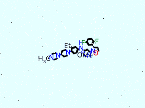 CCc1cc(Nc2cc(N3OCC[C@@H]3c3cc(F)ccc3F)ncn2)c(OC)cc1N1CCC(N2CCN(C)CC2)CC1